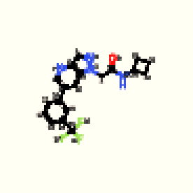 O=C(Cn1ncc2ncc(-c3cccc(C(F)(F)F)c3)cc21)NC1CCC1